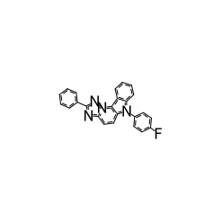 Fc1ccc(-n2c3ccccc3c3c2ccc2nc(-c4ccccc4)nn23)cc1